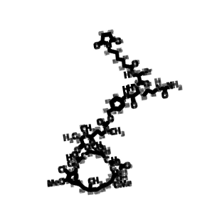 COc1cc2cc(c1Cl)N(C)C(=O)C[C@H](OC(=O)[C@H](C)N(C)C(=O)CCN(C)C(=O)OCc1ccc(NC(=O)[C@@H](CCCNC(N)=O)NC(=O)C(NC(=O)CCCCCN3C(=O)C=CC3=O)C(C)C)cc1)[C@]1(C)O[C@H]1C[C@@H]1C[C@@](O)(NC(=O)O1)[C@H](OC)/C=C/C=C(\C)C2